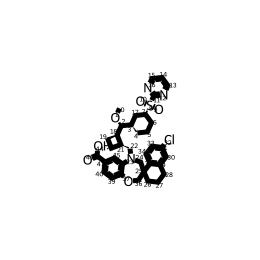 CO[C@@H]([C@H]1CCC[C@@H](S(=O)(=O)c2ncccn2)C1)[C@@H]1CC[C@H]1CN1CC2(CCCc3cc(Cl)ccc32)COc2ccc(C(=O)O)cc21